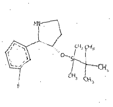 CC(C)(C)[Si](C)(C)O[C@H]1CCNC1c1cccc(F)c1